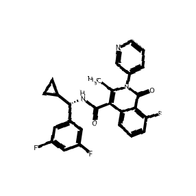 Cc1c(C(=O)N[C@H](c2cc(F)cc(F)c2)C2CC2)c2cccc(F)c2c(=O)n1-c1cccnc1